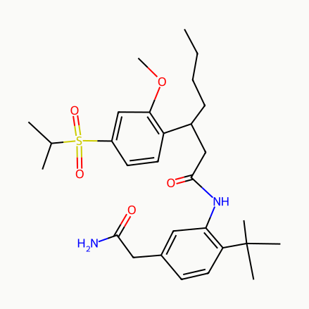 CCCCC(CC(=O)Nc1cc(CC(N)=O)ccc1C(C)(C)C)c1ccc(S(=O)(=O)C(C)C)cc1OC